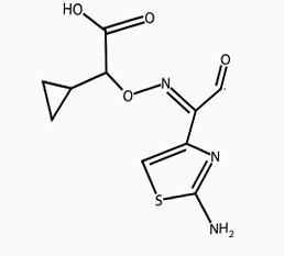 Nc1nc(/C([C]=O)=N\OC(C(=O)O)C2CC2)cs1